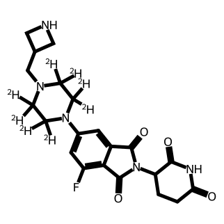 [2H]C1([2H])N(CC2CNC2)C([2H])([2H])C([2H])([2H])N(c2cc(F)c3c(c2)C(=O)N(C2CCC(=O)NC2=O)C3=O)C1([2H])[2H]